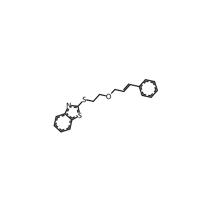 C(=C\c1ccccc1)/COCCSc1nc2ccccc2s1